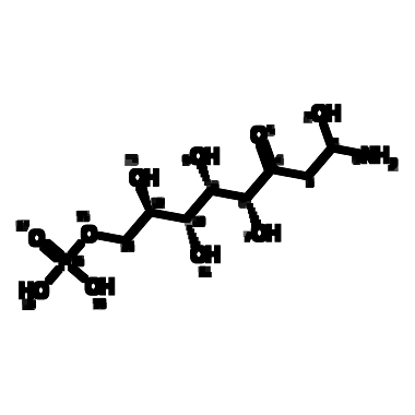 NC(O)CC(=O)[C@H](O)[C@@H](O)[C@H](O)[C@H](O)COP(=O)(O)O